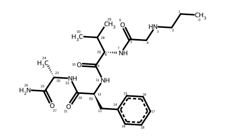 CCCNCC(=O)N[C@H](C(=O)N[C@@H](Cc1ccccc1)C(=O)N[C@@H](C)C(N)=O)C(C)C